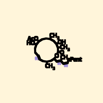 CCCCC/C=C\C(C)=C\C1CC(C)C/C=C/CCC(O)C(OC(C)=O)CCC(C)CC(O)C(C)C(=O)O1